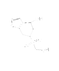 O=S(=O)(CO)C1Cc2sccc2C(O)C1